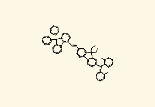 CCC1(CC)c2cc(/C=C/c3cccc4c3-c3ccccc3C4(c3ccccc3)c3ccccc3)ccc2-c2ccc(N(c3ccccc3C)c3ccccc3C)cc21